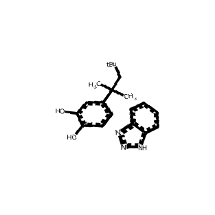 CC(C)(C)CC(C)(C)c1ccc(O)c(O)c1.c1ccc2[nH]nnc2c1